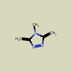 C=c1nnc(=C)n1C